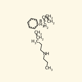 B.C=C.C=C.C=C.CCCNCCC.c1ccccc1